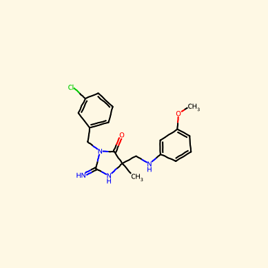 COc1cccc(NCC2(C)NC(=N)N(Cc3cccc(Cl)c3)C2=O)c1